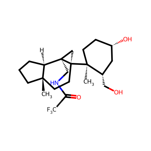 C[C@@]12CCC[C@H]1[C@@]1(CNC(=O)C(F)(F)F)C[C@]1([C@@]1(C)CC[C@H](O)C[C@@H]1CO)CC2